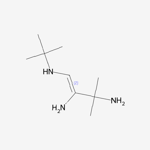 CC(C)(C)N/C=C(\N)C(C)(C)N